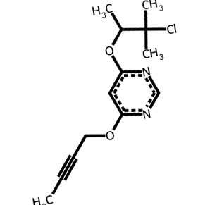 CC#CCOc1cc(OC(C)C(C)(C)Cl)ncn1